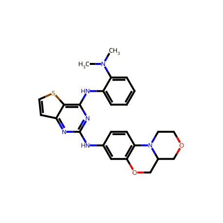 CN(C)c1ccccc1Nc1nc(Nc2ccc3c(c2)OCC2COCCN32)nc2ccsc12